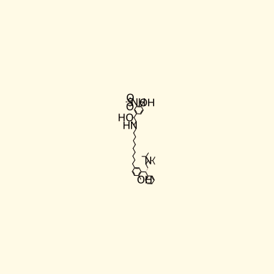 CC(C)N(CC[C@H](c1ccccc1)c1cc(CCCCCCCCCCNC[C@H](O)c2ccc(O)c(NS(C)(=O)=O)c2)ccc1O)C(C)C